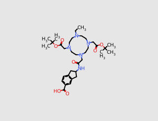 CCN1CCN(CC(=O)OC(C)(C)C)CCN(CC(=O)NC2Cc3ccc(C(=O)O)cc3C2)CCN(CC(=O)OC(C)(C)C)CC1